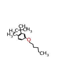 CCCCCCOc1ccc(C)c(C(C)(C)C)c1